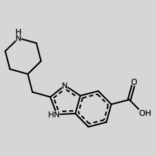 O=C(O)c1ccc2[nH]c(CC3CCNCC3)nc2c1